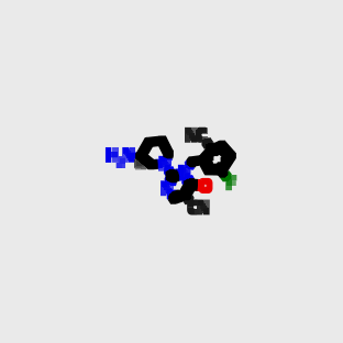 N#Cc1ccc(F)cc1Cn1c(N2CCC[C@@H](N)C2)ncc(C#N)c1=O